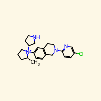 C[C@H]1CCC[N+]1(c1ccc2c(c1)CCN(c1ccc(Cl)cn1)C2)[C@H]1CCNC1